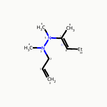 C=CCN(C)N(C)/C(C)=C/CC